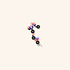 O=C(C[C@@H](c1ccc(OCc2cccc(NS(=O)(=O)c3ccc(C(F)(F)F)cc3)c2)cc1)c1ccon1)N1C(=O)OC[C@@H]1Cc1ccccc1